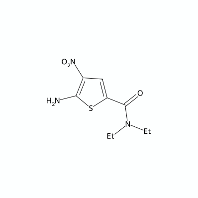 CCN(CC)C(=O)c1cc([N+](=O)[O-])c(N)s1